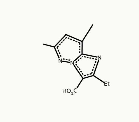 CCc1nc2c(C)cc(C)nn2c1C(=O)O